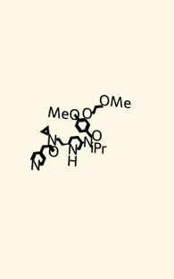 COCCCOc1cc(C(=O)N(C(C)C)[C@@H]2CC[C@H](CCN(C(=O)Cc3ccncc3)C3CC3)NC2)ccc1OC